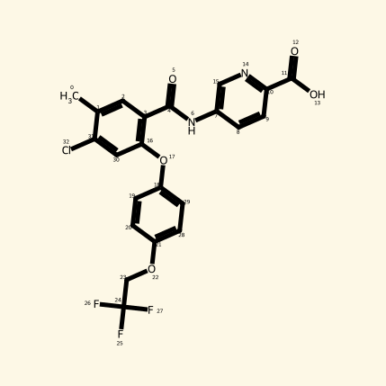 Cc1cc(C(=O)Nc2ccc(C(=O)O)nc2)c(Oc2ccc(OCC(F)(F)F)cc2)cc1Cl